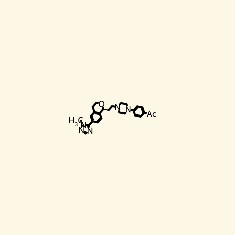 CC(=O)c1ccc(N2CCN(CC[C@@H]3OCCc4cc(-c5ncnn5C)ccc43)CC2)cc1